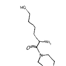 NC(CCCCO)C(=O)N1CCCCC1